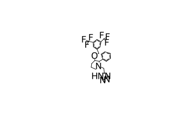 FC(F)(F)c1cc(COC2CCCN(Cc3nnn[nH]3)C2c2ccccc2)cc(C(F)(F)F)c1